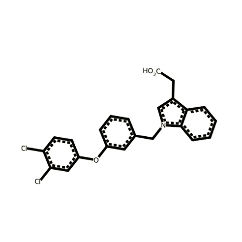 O=C(O)Cc1cn(Cc2cccc(Oc3ccc(Cl)c(Cl)c3)c2)c2ccccc12